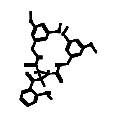 CNc1ccccc1C(=O)C1(C)[C@H](C(=O)NCc2cc(OC)cc(OC)c2)[C@@H]1C(=O)NCc1cc(OC)cc(OC)c1